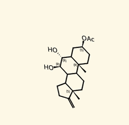 C=C1CCC2C3C(CC[C@]12C)[C@@]1(C)CC[C@H](OC(C)=O)CC1[C@@H](O)[C@@H]3O